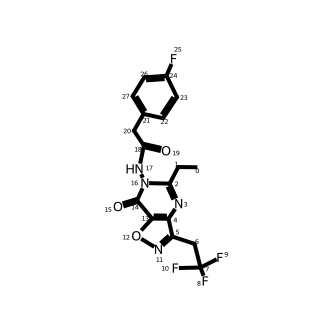 CCc1nc2c(CC(F)(F)F)noc2c(=O)n1NC(=O)Cc1ccc(F)cc1